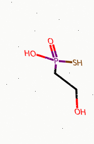 O=P(O)(S)CCO